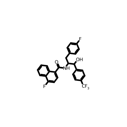 O=C(NC(Cc1ccc(F)cc1)C(O)c1ccc(C(F)(F)F)cc1)c1ccc(F)c2ccccc12